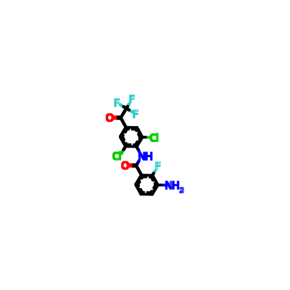 Nc1cccc(C(=O)Nc2c(Cl)cc(C(=O)C(F)(F)F)cc2Cl)c1F